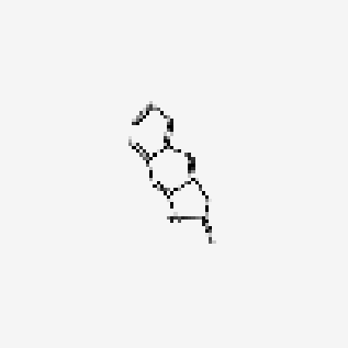 O=C1Cc2nc3ccccc3cc2N1